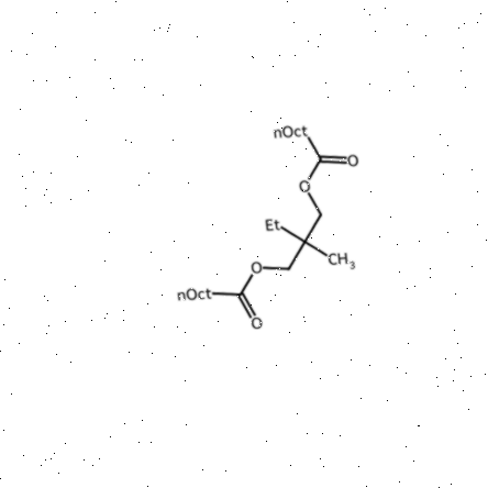 CCCCCCCCC(=O)OCC(C)(CC)COC(=O)CCCCCCCC